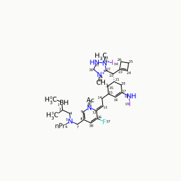 CBC(C)CN(CCC)CC1=CN(C(C)=O)/C(=C\CC2C=C(NI)CC([C@@H](C3=CCC3)C3=[N+](C)CN[N+]3(C)I)C2)C(F)=C1